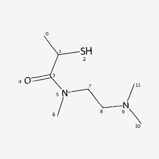 CC(S)C(=O)N(C)CCN(C)C